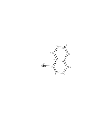 CC(C)(C)c1ccnc2cncnc12